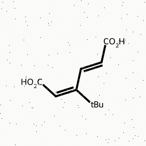 CC(C)(C)C(/C=C/C(=O)O)=C/C(=O)O